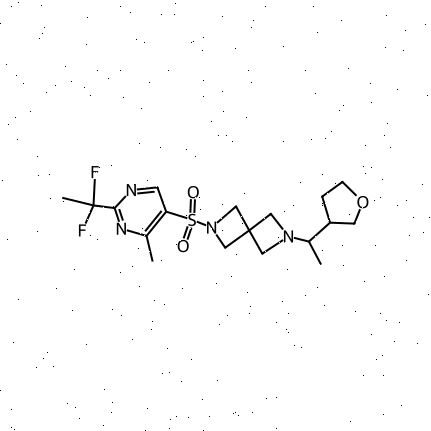 Cc1nc(C(C)(F)F)ncc1S(=O)(=O)N1CC2(CN(C(C)C3CCOC3)C2)C1